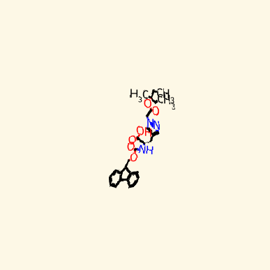 CCC(C)(CC)OC(=O)Cn1cc(C[C@H](NC(=O)OCC2c3ccccc3-c3ccccc32)C(=O)O)cn1